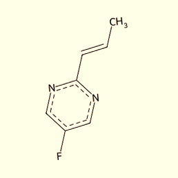 CC=Cc1ncc(F)cn1